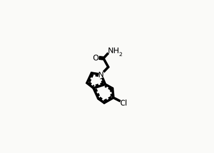 NC(=O)Cn1ccc2ccc(Cl)cc21